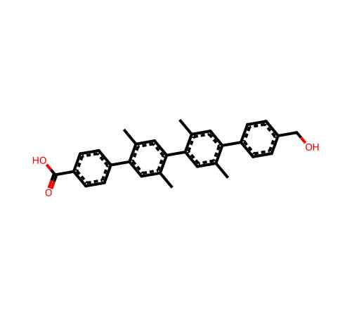 Cc1cc(-c2cc(C)c(-c3ccc(C(=O)O)cc3)cc2C)c(C)cc1-c1ccc(CO)cc1